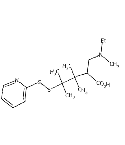 CCN(C)CC(C(=O)O)C(C)(C)C(C)(C)SSc1ccccn1